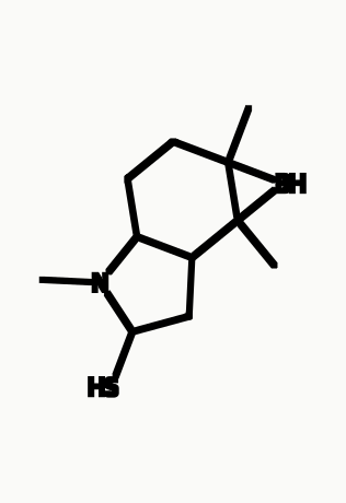 CN1C(S)CC2C1CCC1(C)BC21C